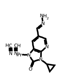 C#N.C#N.CC(C)n1c(=O)n(C2CC2)c2ncc(C=NN)cc21